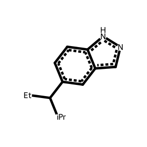 CCC(c1ccc2[nH]ncc2c1)C(C)C